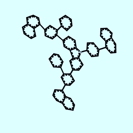 c1ccc(-c2cc(-c3cccc4ccccc34)ccc2-c2ccc3c(c2)c2cc(-c4ccc(-c5cccc6ccccc56)cc4-c4ccccc4)ccc2n3-c2ccc(-c3cccc4ccccc34)cc2)cc1